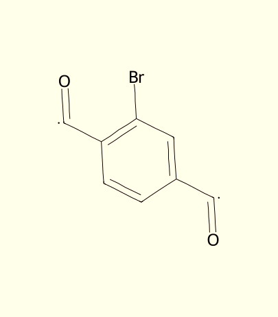 O=[C]c1ccc([C]=O)c(Br)c1